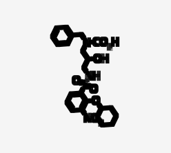 O=C(O)N(Cc1ccccc1)CC(O)CNS(=O)(=O)c1cccc([N+](=O)[O-])c1OC1CCCCC1